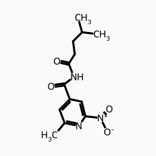 Cc1cc(C(=O)NC(=O)CCC(C)C)cc([N+](=O)[O-])n1